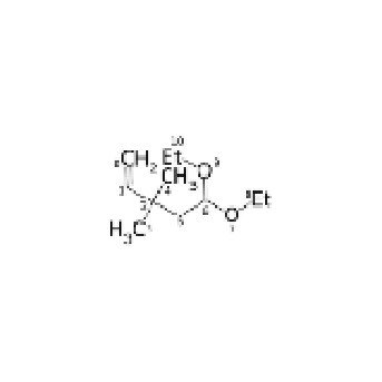 C=CC(C)(C)CC(OCC)OCC